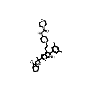 Cc1cc(C)cc(-c2[nH]c3sc(C(C)(C)CC4C5CCC4C(=O)N5)cc3c2CCN2CCC(NC(=O)N3CCOCC3)CC2)c1